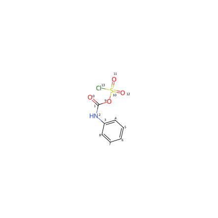 O=C(Nc1ccccc1)OS(=O)(=O)Cl